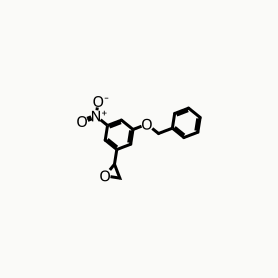 O=[N+]([O-])c1cc(OCc2ccccc2)cc(C2CO2)c1